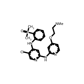 CNCCOc1ccnc(Nc2cc(Nc3ccccc3P(C)(C)=O)c(Cl)cn2)c1